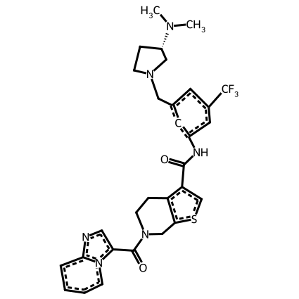 CN(C)[C@H]1CCN(Cc2cc(NC(=O)c3csc4c3CCN(C(=O)c3cnc5ccccn35)C4)cc(C(F)(F)F)c2)C1